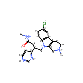 CNC(=O)CC(Cn1c2c(c3cc(Cl)ccc31)CCN(C)C2)c1ccncn1